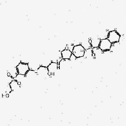 O=S(=O)(CCO)c1cccc(OCC(O)CN[C@H]2COC3(CCN(S(=O)(=O)c4ccc5ccccc5c4)CC3)C2)c1